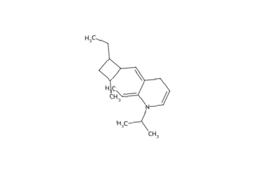 C/C=C1\C(=C/C2C(C)CC2CC)CC=CN1C(C)C